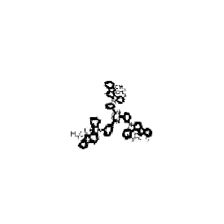 CC1(C)c2ccccc2-c2ccc3c(c21)c1ccccc1n3-c1cccc(-c2nc(-c3cccc(-n4c5ccccc5c5c6c(ccc54)-c4ccccc4C6(C)C)c3)nc(-c3cccc(-n4c5ccccc5c5c6c(ccc54)-c4ccccc4C6(C)C)c3)n2)c1